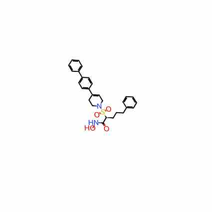 O=C(NO)[C@H](CCCc1ccccc1)S(=O)(=O)N1CC=C(c2ccc(-c3ccccc3)cc2)CC1